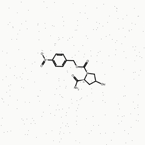 NC(=O)[C@@H]1CC(O)CN1C(=O)OCc1ccc([N+](=O)[O-])cc1